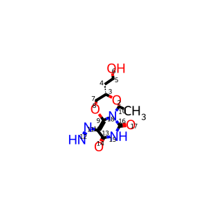 CC1O[C@@H](CCO)COc2c(N=N)c(=O)[nH]c(=O)n21